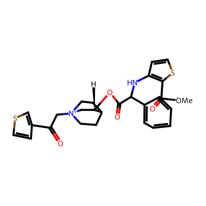 COC(=O)c1sccc1NC(C(=O)O[C@H]1C[N+]2(CC(=O)c3ccsc3)CCC1CC2)c1ccccc1